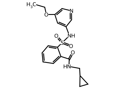 CCOc1cncc(NS(=O)(=O)c2ccccc2C(=O)NCC2CC2)c1